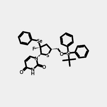 CC(C)(C)[Si](OC[C@H]1C[C@](F)([Se]c2ccccc2)[C@@H](n2ccc(=O)[nH]c2=O)S1)(c1ccccc1)c1ccccc1